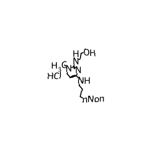 CCCCCCCCCCCCNC1=CCN(C)C(NCCO)=N1.Cl